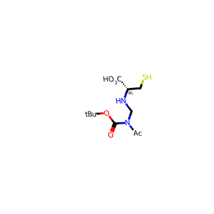 CC(=O)N(CN[C@@H](CS)C(=O)O)C(=O)OC(C)(C)C